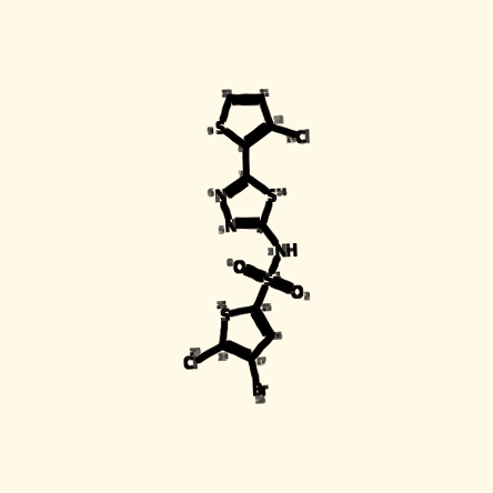 O=S(=O)(Nc1nnc(-c2sccc2Cl)s1)c1cc(Br)c(Cl)s1